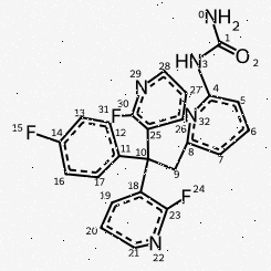 NC(=O)Nc1cccc(CC(c2ccc(F)cc2)(c2cccnc2F)c2cccnc2F)n1